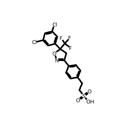 O=S(=O)(O)CCc1ccc(C2=NOC(c3cc(Cl)cc(Cl)c3)(C(F)(F)F)C2)cc1